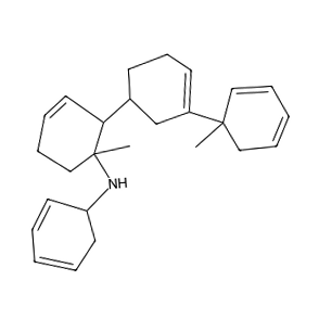 CC1(C2=CCCC(C3C=CCCC3(C)NC3C=CC=CC3)C2)C=CC=CC1